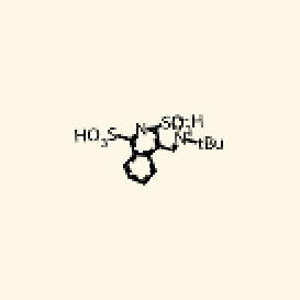 CC(C)(C)/[N+]([O-])=C/c1c(S(=O)(=O)O)nc(S(=O)(=O)O)c2ccccc12